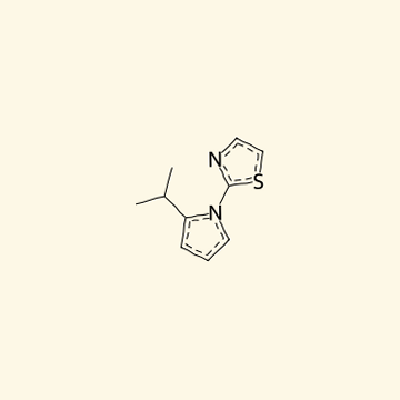 CC(C)c1cccn1-c1nccs1